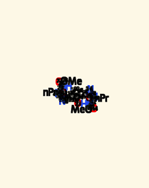 CCCN(Cc1ncc(-c2cc3ccc4cc(-c5cnc(CN(CCC)C(=O)CNC(=O)OC)[nH]5)cc5c(=O)c(c2)c3c45)[nH]1)C(=O)CNC(=O)OC